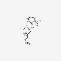 CC(N)CN(CCCCN)Cc1ncccc1C(C)C